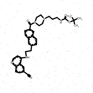 CC(C)(C)OC(=O)NCCCN1CCN(C(=O)c2ccc3cc(CCNc4ccnc5ccc(C#N)cc45)ccc3c2)CC1